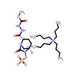 CCCC[N+](CCCC)(CCCC)CCCC.COC(=O)NNC(=O)[C@@H]1CC[C@@H]2CN1C(=O)N2OS(=O)(=O)[O-]